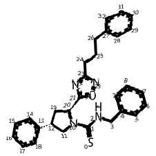 S=C(NCc1ccccc1)N1C[C@H](c2ccccc2)C[C@H]1c1nc(CCCc2ccccc2)no1